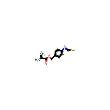 C=C(C)C(=O)OCc1ccc(N=C=S)cc1